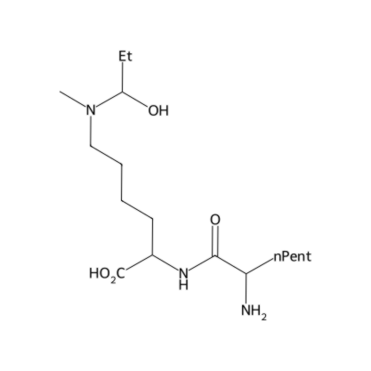 CCCCCC(N)C(=O)NC(CCCCN(C)C(O)CC)C(=O)O